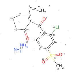 C=CC1=C(C(=O)c2ccc(S(C)(=O)=O)cc2Cl)C(=O)CCC1.N.N